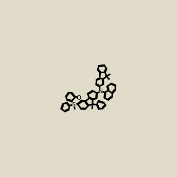 CC1(C)c2ccccc2-c2ccc(N(c3ccc4c(c3)C(C)(c3ccccc3)c3ccc5c(c3-4)Oc3ccccc3[Si]5(C)c3ccccc3)c3cccc4ccccc34)cc21